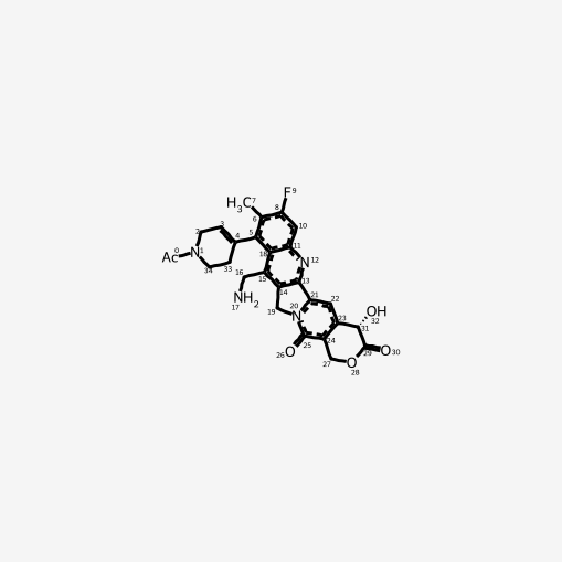 CC(=O)N1CC=C(c2c(C)c(F)cc3nc4c(c(CN)c23)Cn2c-4cc3c(c2=O)COC(=O)[C@H]3O)CC1